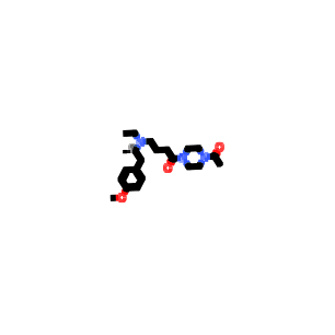 CCN(CCCC(=O)N1CCN(C(C)=O)CC1)[C@@H](C)Cc1ccc(OC)cc1